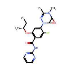 CC(C)C[C@H](C)Oc1cc(N2N=C(C(C)C)N(C)C3OC32)c(F)cc1C(=O)Nc1ncccn1